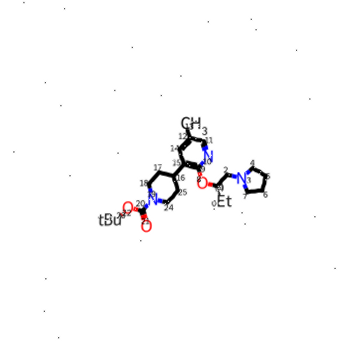 CC[C@@H](CN1CCCC1)Oc1ncc(C)cc1C1CCN(C(=O)OC(C)(C)C)CC1